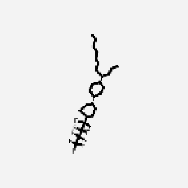 CCCCCCCC(CCC)[C@H]1CC[C@H](C2CCC(C(F)(F)C(F)(F)C(F)(F)C(F)(F)F)CC2)CC1